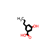 CCCc1cc(O)cc(C(=O)O)c1